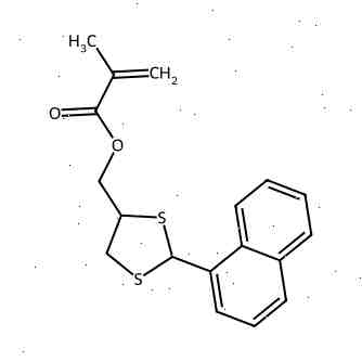 C=C(C)C(=O)OCC1CSC(c2cccc3ccccc23)S1